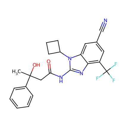 CC(O)(CC(=O)Nc1nc2c(C(F)(F)F)cc(C#N)cc2n1C1CCC1)c1ccccc1